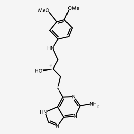 COc1ccc(NC[C@H](O)CSc2nc(N)nc3nc[nH]c23)cc1OC